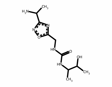 CC(N)c1noc(CNC(=O)NC(C)C(C)O)n1